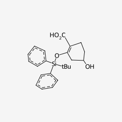 CC(C)(C)[Si](OC1=C(C(=O)O)CCC(O)C1)(c1ccccc1)c1ccccc1